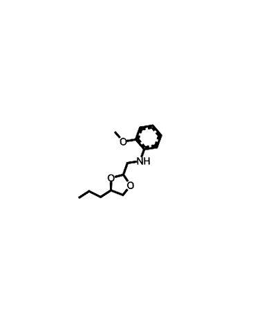 CCCC1COC(CNc2ccccc2OC)O1